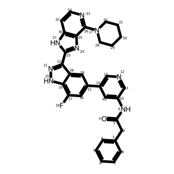 O=C(Cc1ccccc1)Nc1cncc(-c2cc(F)c3[nH]nc(-c4nc5c(N6CCCCC6)nccc5[nH]4)c3c2)c1